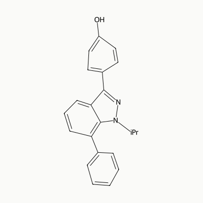 CC(C)n1nc(-c2ccc(O)cc2)c2cccc(-c3ccccc3)c21